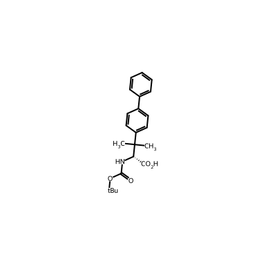 CC(C)(C)OC(=O)N[C@@H](C(=O)O)C(C)(C)c1ccc(-c2ccccc2)cc1